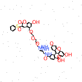 O=C(NCC1=CN(COCCOCCOCc2cc(O)cc3oc(=O)c(C(=O)Sc4ccccc4)cc23)NN1)c1ccc(C(=O)O)c(-c2c3ccc(=O)cc-3oc3cc(O)ccc23)c1